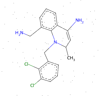 CC1C=C(N)c2cccc(CN)c2N1Cc1cccc(Cl)c1Cl